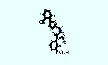 O=C(O)C1CCCC(N2C(=O)/C(=C\c3ccc(-c4ccccc4Cl)s3)SC2=S)C1